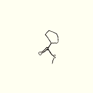 CSC(=O)C1CCCC1